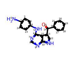 Nc1ccc(Nc2ncnc3[nH]cc(C(=O)c4ccccc4)c23)cc1